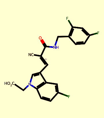 N#C/C(=C\c1cn(CC(=O)O)c2ccc(F)cc12)C(=O)NCc1ccc(F)cc1F